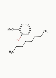 CCCCCCCC.COc1ccccc1Br